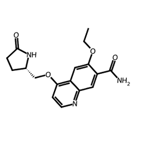 CCOc1cc2c(OC[C@@H]3CCC(=O)N3)ccnc2cc1C(N)=O